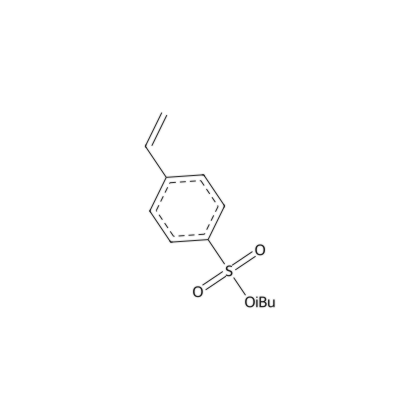 C=Cc1ccc(S(=O)(=O)OCC(C)C)cc1